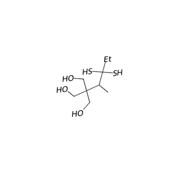 CCC(S)(S)C(C)C(CO)(CO)CO